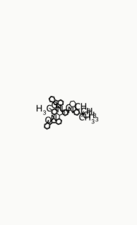 Cc1cc2c3c(c1)-n1c4oc5ccccc5c4c4cccc(c41)C3c1ccc(N3c4ccc(C(C)(C)C)cc4C4(C)CCCCC34C)cc1N2c1cccc2c1oc1ccccc12